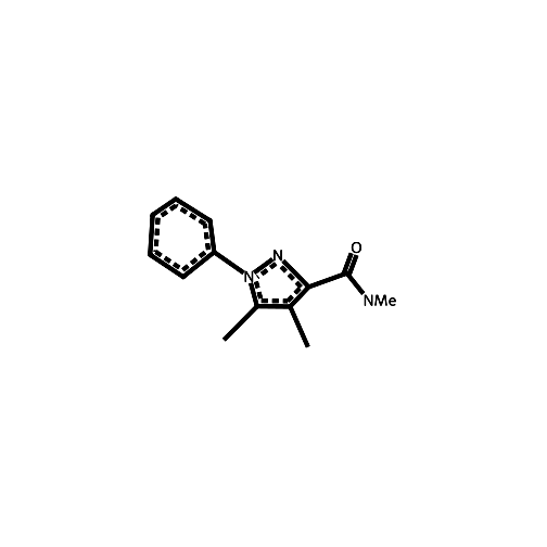 CNC(=O)c1nn(-c2ccccc2)c(C)c1C